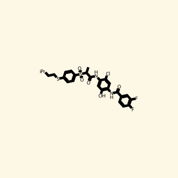 CC(C)CCSc1ccc(S(=O)(=O)C(C)C(=O)Nc2cc(O)c(NC(=O)c3ccc(F)c(F)c3)cc2Cl)cc1